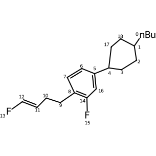 CCCCC1CCC(c2ccc(CCC=CF)c(F)c2)CC1